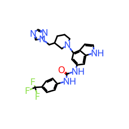 O=C(Nc1ccc(C(F)(F)F)cc1)Nc1cc(N2CCCC(Cn3cncn3)C2)c2cc[nH]c2c1